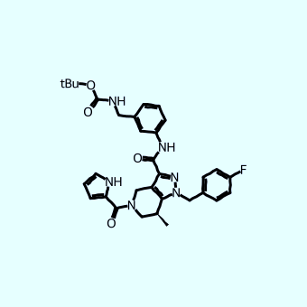 C[C@H]1CN(C(=O)c2ccc[nH]2)Cc2c(C(=O)Nc3cccc(CNC(=O)OC(C)(C)C)c3)nn(Cc3ccc(F)cc3)c21